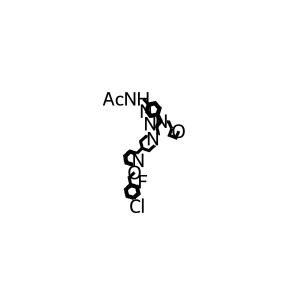 CC(=O)Nc1ccc2c(n1)nc(CN1CCC(c3cccc(OCc4ccc(Cl)cc4F)n3)CC1)n2CC1CCO1